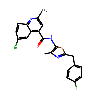 Cc1nc(Cc2ccc(F)cc2)sc1NC(=O)c1cc(C(F)(F)F)nc2ccc(Br)cc12